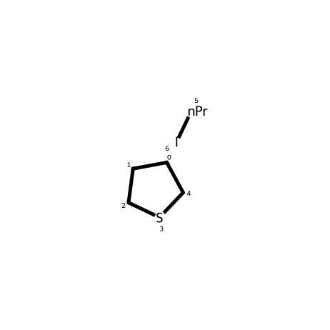 C1CCSC1.CCCI